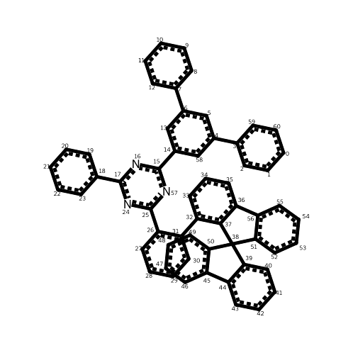 c1ccc(-c2cc(-c3ccccc3)cc(-c3nc(-c4ccccc4)nc(-c4ccccc4-c4cccc5c4C4(c6ccccc6-c6ccccc64)c4ccccc4-5)n3)c2)cc1